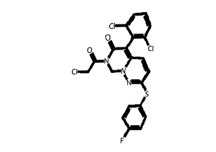 O=C(CCl)N1CN2N=C(Sc3ccc(F)cc3)C=CC2=C(c2c(Cl)cccc2Cl)C1=O